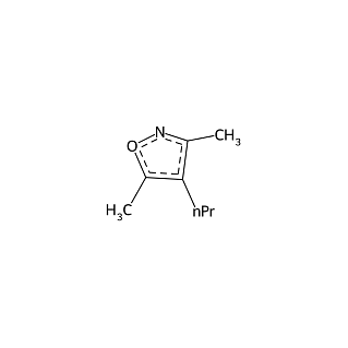 CCCc1c(C)noc1C